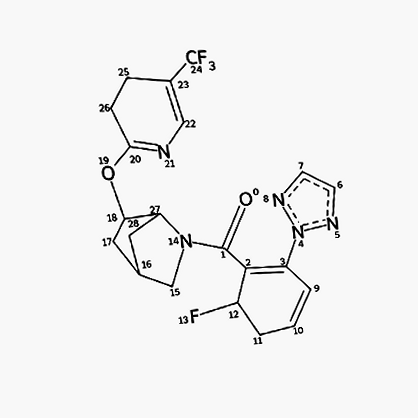 O=C(C1=C(n2nccn2)C=CCC1F)N1CC2CC(OC3=NC=C(C(F)(F)F)CC3)C1C2